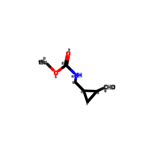 CC(C)(C)OC(=O)NCC1CC1C=O